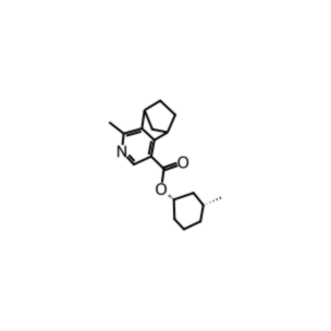 Cc1ncc(C(=O)O[C@H]2CCC[C@@H](C)C2)c2c1C1CCC2C1